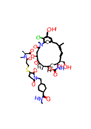 CNC(=O)C1CCC(CN2C(=O)CC(SCCC(=O)N(C)[C@@H](C)C(=O)OC3CC(=O)N(C)c4cc(cc(CO)c4Cl)C/C(C)=C/C=C/[C@@H](CO)[C@@]4(O)C[C@H](OC(=O)N4)[C@@H](C)[C@@H]4O[C@@]34C)C2=O)CC1